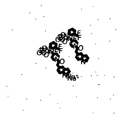 CP(=O)([O-])On1c(=O)n(C2CCN(C(=O)Cc3ccc4ncccc4c3)CC2)c2c(C(F)(F)F)cccc21.CP(=O)([O-])On1c(=O)n(C2CCN(C(=O)Cc3ccc4ncccc4c3)CC2)c2c(C(F)(F)F)cccc21.[Na+].[Na+]